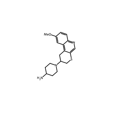 COc1ccc2ncc3c(c2c1)CC(N1CCC(N)CC1)CS3